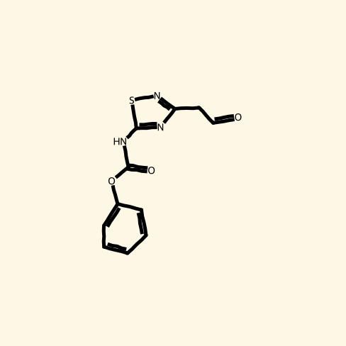 O=CCc1nsc(NC(=O)Oc2ccccc2)n1